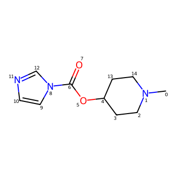 CN1CCC(OC(=O)n2ccnc2)CC1